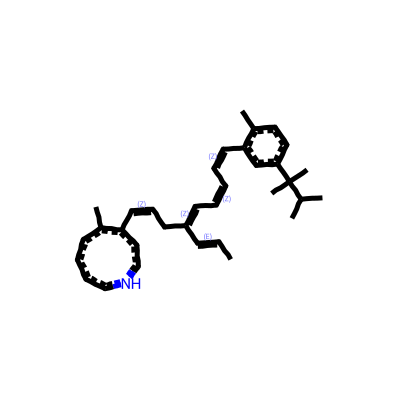 C/C=C/C(=C\C=C/C=C\c1cc(C(C)(C)C(C)C)ccc1C)C/C=C\c1cc[nH]ccccc1C